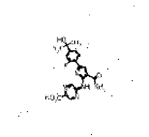 CC(C)(O)c1ccc(-c2cc(C(N)=O)c(Nc3cnc(C(=O)O)cn3)s2)c(F)c1